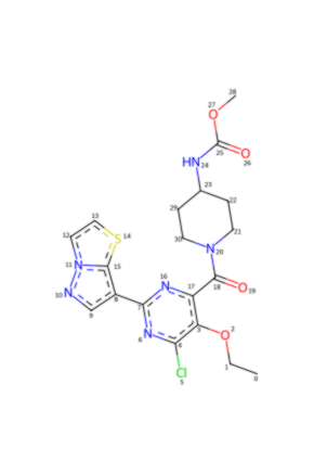 CCOc1c(Cl)nc(-c2cnn3ccsc23)nc1C(=O)N1CCC(NC(=O)OC)CC1